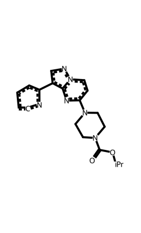 CC(C)OC(=O)N1CCN(c2ccn3ncc(-c4ccccn4)c3n2)CC1